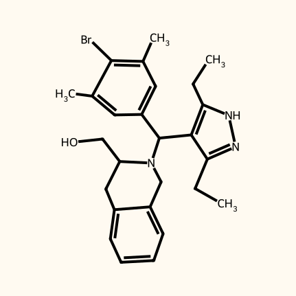 CCc1n[nH]c(CC)c1C(c1cc(C)c(Br)c(C)c1)N1Cc2ccccc2CC1CO